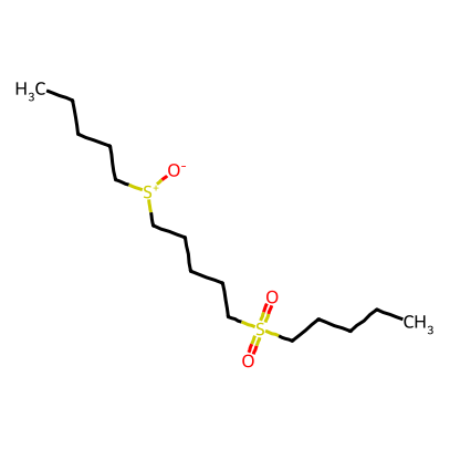 CCCCC[S+]([O-])CCCCCS(=O)(=O)CCCCC